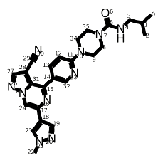 CC(C)CNC(=O)N1CCN(c2ccc(-c3nc(-c4cnn(C)c4)cn4ncc(C#N)c34)cn2)CC1